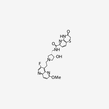 COc1ccc2ncc(F)c(CCN3C[C@H](CNC(=O)c4ccc5c(n4)NC(=O)CS5)[C@H](O)C3)c2n1